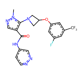 Cn1ncc(C(=O)Nc2ccnnc2)c1N1CC(Oc2cc(F)cc(C(F)(F)F)c2)C1